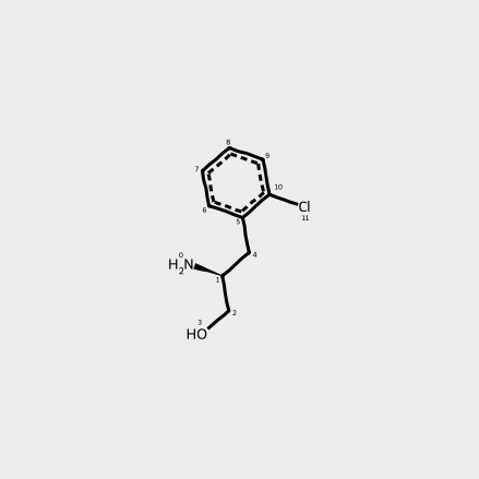 N[C@H](CO)Cc1ccccc1Cl